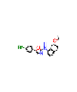 CCOC1=CCc2cccc(Nc3ncc(-c4ccc(Br)cc4)o3)c2C1